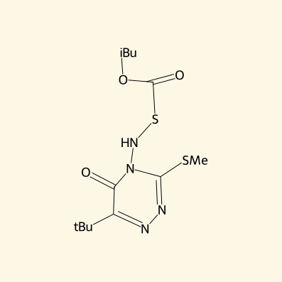 CCC(C)OC(=O)SNn1c(SC)nnc(C(C)(C)C)c1=O